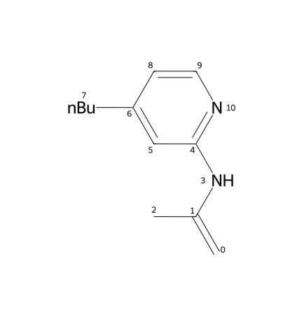 C=C(C)Nc1cc(CCCC)ccn1